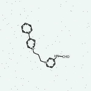 O=CNc1ccc[n+](CCC[n+]2ccc(-c3ccccc3)cc2)c1